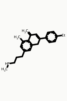 C=C1C=C(c2ccc(CC)cc2)Cc2cc(CCCPC)cc(C)c21